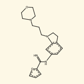 N=C(Nc1ccc2c(c1)N(CCCN1CCOCC1)CC2)c1ccco1